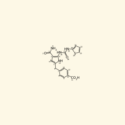 NC(=O)c1nc(Cc2ccc(C(=O)O)cc2)[nH]c1NC(=O)Nc1cccs1